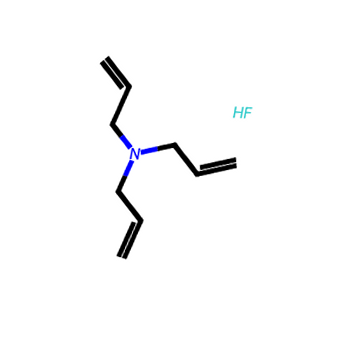 C=CCN(CC=C)CC=C.F